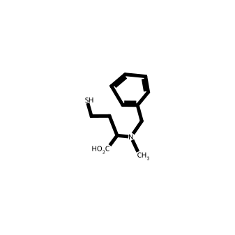 CN(Cc1ccccc1)C(CCS)C(=O)O